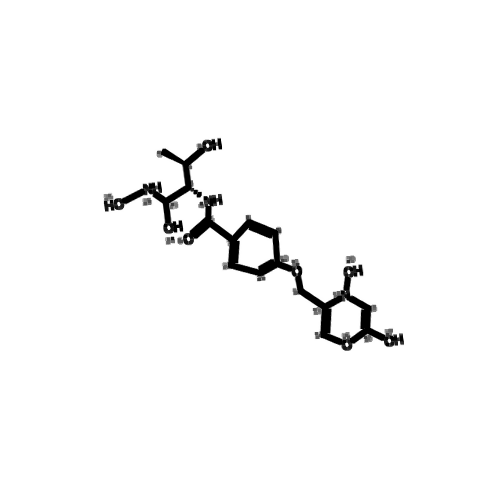 C[C@@H](O)[C@H](NC(=O)c1ccc(OCC2=COC(O)=CN2O)cc1)C(O)NO